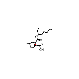 CCCCCC(CC)OC(=O)C1C2CC(CC2C)C1C(=O)O